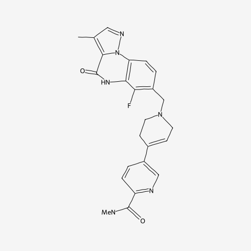 CNC(=O)c1ccc(C2=CCN(Cc3ccc4c([nH]c(=O)c5c(C)cnn54)c3F)CC2)cn1